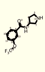 O=C(NC1CCNC1)c1cccc(OC(F)(F)F)c1